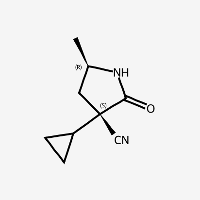 C[C@@H]1C[C@@](C#N)(C2CC2)C(=O)N1